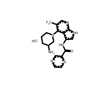 Cl.NC1CCCN(c2c(C(F)(F)F)cnc3[nH]cc(NC(=O)c4cnccn4)c23)C1